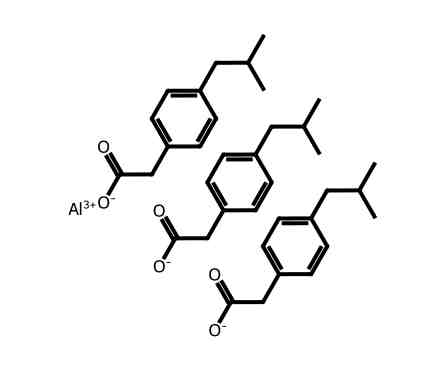 CC(C)Cc1ccc(CC(=O)[O-])cc1.CC(C)Cc1ccc(CC(=O)[O-])cc1.CC(C)Cc1ccc(CC(=O)[O-])cc1.[Al+3]